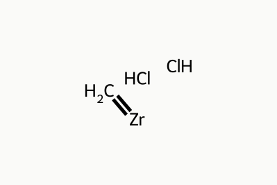 Cl.Cl.[CH2]=[Zr]